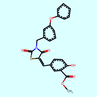 COC(=O)c1cc(C=C2SC(=O)N(Cc3cccc(Oc4ccccc4)c3)C2=O)ccc1O